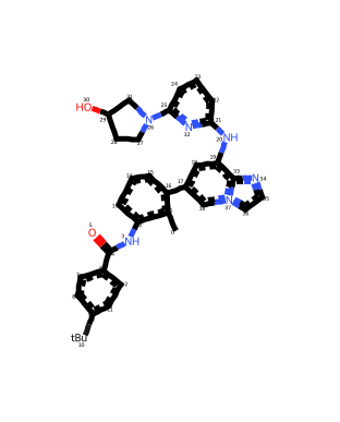 Cc1c(NC(=O)c2ccc(C(C)(C)C)cc2)cccc1-c1cc(Nc2cccc(N3CCC(O)C3)n2)c2nccn2c1